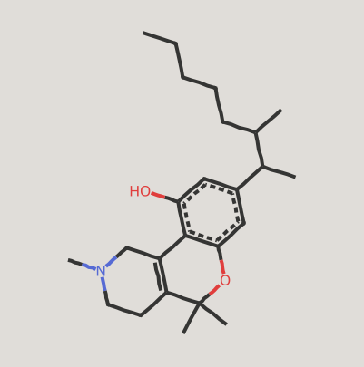 CCCCCC(C)C(C)c1cc(O)c2c(c1)OC(C)(C)C1=C2CN(C)CC1